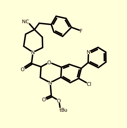 CC(C)(C)OC(=O)N1CC(C(=O)N2CCC(C#N)(Cc3ccc(F)cc3)CC2)Oc2cc(-c3ccccn3)c(Cl)cc21